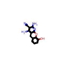 N#Cc1c(N)nc2c(c1N)Cc1cccc(O)c1O2